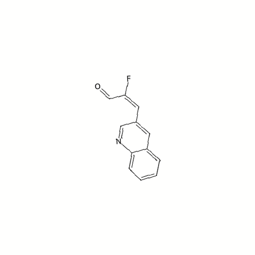 O=C/C(F)=C\c1cnc2ccccc2c1